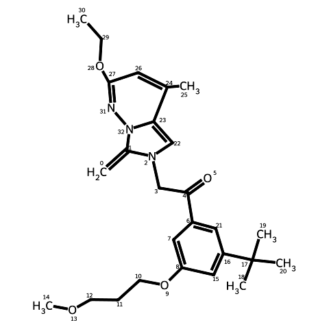 C=C1N(CC(=O)c2cc(OCCCOC)cc(C(C)(C)C)c2)C=C2C(C)=CC(OCC)=NN12